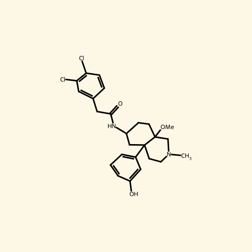 COC12CCC(NC(=O)Cc3ccc(Cl)c(Cl)c3)CC1(c1cccc(O)c1)CCN(C)C2